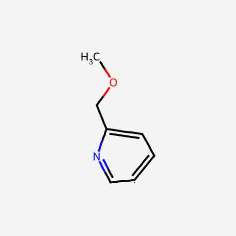 COCc1cc[c]cn1